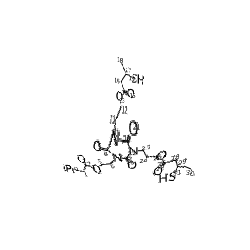 CC(C)CC(=O)OCCn1c(=O)n(CCOC(=O)CC(C)S)c(=O)n(CCOC(=O)CC(C)S)c1=O